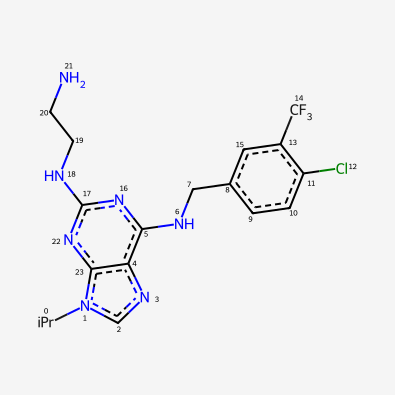 CC(C)n1cnc2c(NCc3ccc(Cl)c(C(F)(F)F)c3)nc(NCCN)nc21